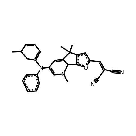 CC1C=CC=C(N(C2=CN(C)C3C(=C2)C(C)(C)c2cc(C=C(C#N)C#N)oc23)c2ccccc2)C1